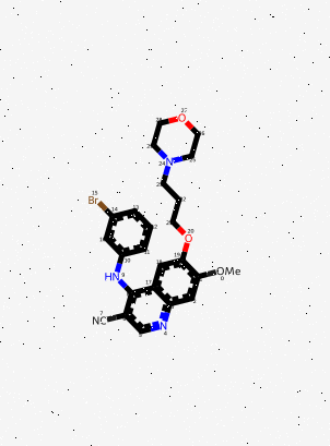 COc1cc2ncc(C#N)c(Nc3cccc(Br)c3)c2cc1OCCCN1CCOCC1